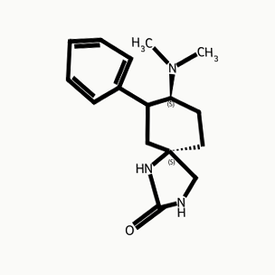 CN(C)[C@H]1CC[C@@]2(CNC(=O)N2)CC1c1ccccc1